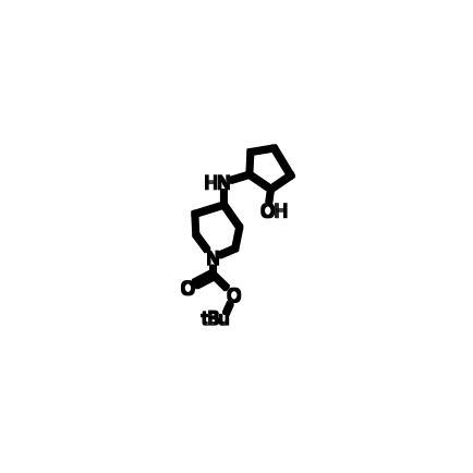 CC(C)(C)OC(=O)N1CCC(NC2CCCC2O)CC1